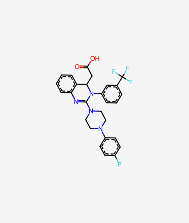 O=C(O)CC1c2ccccc2N=C(N2CCN(c3ccc(F)cc3)CC2)N1c1cccc(C(F)(F)F)c1